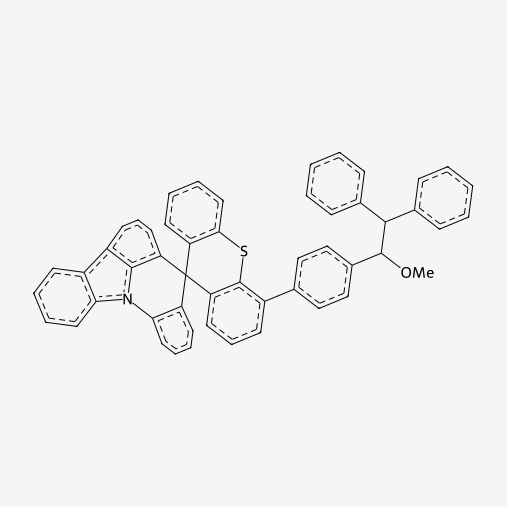 COC(c1ccc(-c2cccc3c2Sc2ccccc2C32c3ccccc3-n3c4ccccc4c4cccc2c43)cc1)C(c1ccccc1)c1ccccc1